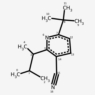 CC(C)C(C)c1nc(C(C)(C)C)ccc1C#N